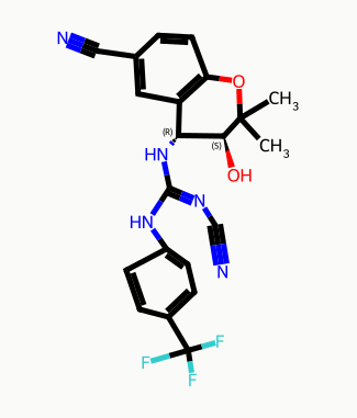 CC1(C)Oc2ccc(C#N)cc2[C@@H](NC(=NC#N)Nc2ccc(C(F)(F)F)cc2)[C@@H]1O